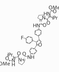 COC(=O)N[C@H](C(=O)N1CCC[C@H]1C(=O)Nc1ccc(-c2coc(-c3ccc(NC(=O)[C@@H]4CCCN4C(=O)[C@@H](NC(=O)OC)C(C)C)cc3)c2-c2ccc(F)cc2)cc1)C(C)C